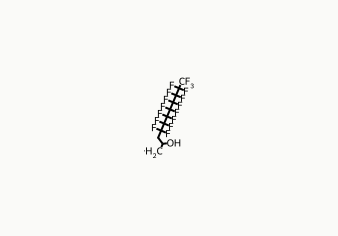 [CH2]C(O)CC(F)(F)C(F)(F)C(F)(F)C(F)(F)C(F)(F)C(F)(F)C(F)(F)C(F)(F)F